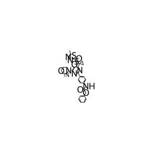 Cc1nnc(S(=O)(=O)C2(c3cc(N4CCOC[C@@H]4C)nc(-c4ccc(NC(=O)Oc5ccccc5)cc4)n3)CC2)s1